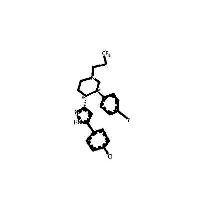 Fc1ccc([C@@H]2CN(CCC(F)(F)F)CC[C@H]2c2cc(-c3ccc(Cl)cc3)[nH]n2)cc1